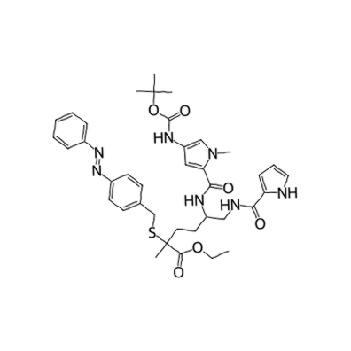 CCOC(=O)C(C)(CCC(CNC(=O)c1ccc[nH]1)NC(=O)c1cc(NC(=O)OC(C)(C)C)cn1C)SCc1ccc(N=Nc2ccccc2)cc1